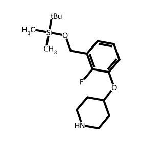 CC(C)(C)[Si](C)(C)OCc1cccc(OC2CCNCC2)c1F